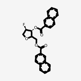 O=C(OCC1OC[C@@H](F)[C@@H]1OC(=O)c1ccc2ccccc2c1)c1ccc2ccccc2c1